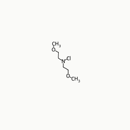 COCCN(Cl)CCOC